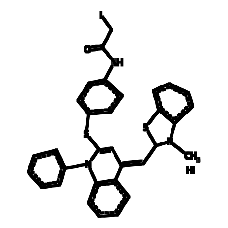 CN1c2ccccc2SC1C=C1C=C(Sc2ccc(NC(=O)CI)cc2)N(c2ccccc2)c2ccccc21.I